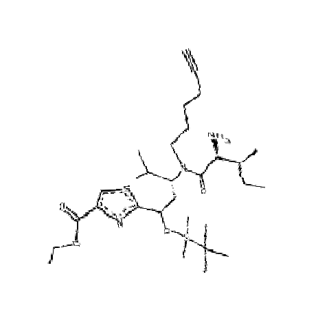 C#CCCCCN(C(=O)[C@@H](N)[C@@H](C)CC)[C@H](C[C@@H](O[Si](C)(C)C(C)(C)C)c1nc(C(=O)OCC)cs1)C(C)C